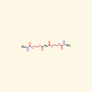 CC(C)(C)NC(=O)OCCOC(=O)/C=C/C(=O)OCCOC(=O)NC(C)(C)C